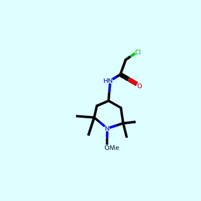 CON1C(C)(C)CC(NC(=O)CCl)CC1(C)C